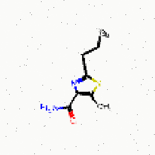 Cc1sc(CCC(C)(C)C)nc1C(N)=O